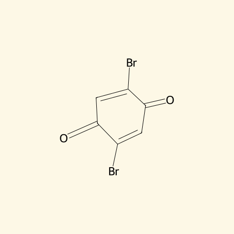 O=C1C=C(Br)C(=O)C=C1Br